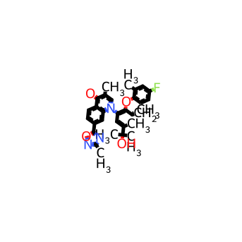 C=C/C(Oc1c(C)cc(F)cc1C)=C(\C=C(/C)C(C)(C)O)n1cc(C)c(=O)c2ccc(-c3nc(C)no3)cc21